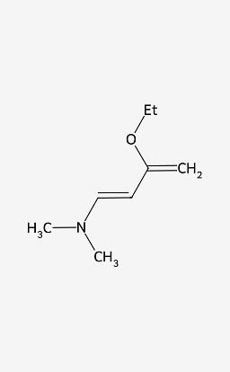 C=C(/C=C/N(C)C)OCC